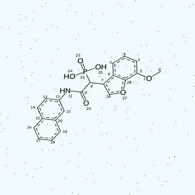 COc1cccc2c(C(C(=O)Nc3ccc4ccccc4c3)P(=O)(O)O)coc12